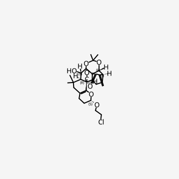 C=C1C(=O)[C@@]23[C@@H]4OC(C)(C)OC25OC[C@]2(C6=C(CC[C@@H](OCCCl)O6)CC(C)(C)[C@H]2[C@@H]5O)[C@@H]3CC[C@@H]14